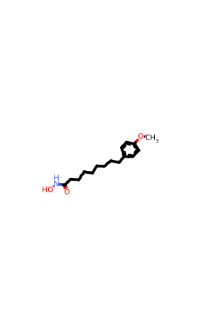 COc1ccc(CCCCCCCCC(=O)NO)cc1